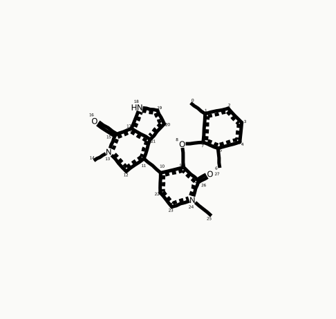 Cc1cccc(C)c1Oc1c(-c2cn(C)c(=O)c3[nH]ccc23)ccn(C)c1=O